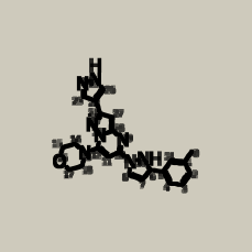 Cc1cccc(C2C=CN(c3cc(N4CCOCC4)n4nc(-c5cn[nH]c5)cc4n3)N2)c1